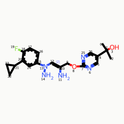 CC(C)(O)c1cnc(OC/C(N)=C/N(N)c2ccc(F)c(C3CC3)c2)nc1